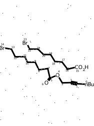 CCCCC#CCOC(=O)CCCCCCCBr.O=C(O)CCCCCCCBr